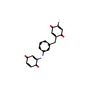 CC(C)C1=CC(=O)C(Cc2cccc(NC3=CC(=O)C=CC3=O)c2)=CC1=O